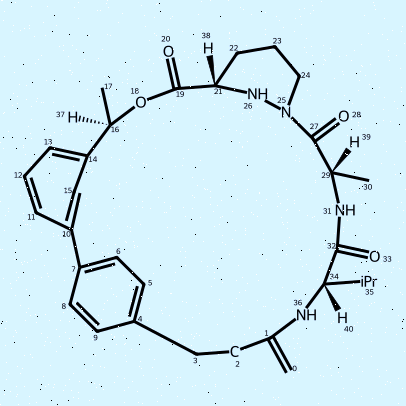 C=C1CCc2ccc(cc2)-c2cccc(c2)[C@@H](C)OC(=O)[C@@H]2CCCN(N2)C(=O)[C@H](C)NC(=O)[C@H](C(C)C)N1